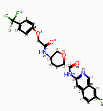 O=C(COc1ccc(C(F)(F)F)cc1)N[C@@H]1CC[C@@H](C(=O)Nc2cc3ccc(Cl)cc3cn2)OC1